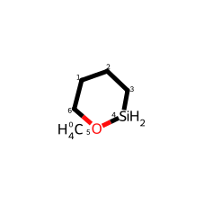 C.C1CC[SiH2]OC1